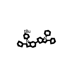 CC(C)(C)c1ccc(-n2c(-c3ccccc3)cc3ccc(-c4ccc5c(c4)cc(-c4ccccc4)n5-c4ccccc4)cc32)cc1